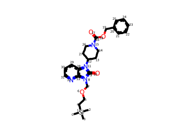 C[Si](C)(C)CCOCn1c(=O)n(C2CCN(C(=O)OCc3ccccc3)CC2)c2cccnc21